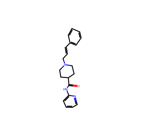 O=C(Nc1ccccn1)C1CCN(C/C=C/c2ccccc2)CC1